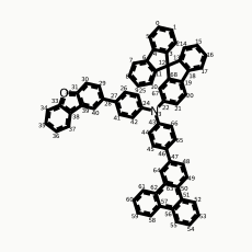 c1ccc2c(c1)-c1ccccc1C21c2ccccc2-c2ccc(N(c3ccc(-c4ccc5oc6ccccc6c5c4)cc3)c3ccc(-c4ccc5c6ccccc6c6ccccc6c5c4)cc3)cc21